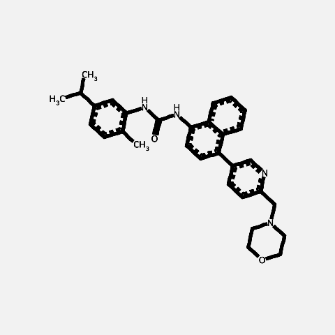 Cc1ccc(C(C)C)cc1NC(=O)Nc1ccc(-c2ccc(CN3CCOCC3)nc2)c2ccccc12